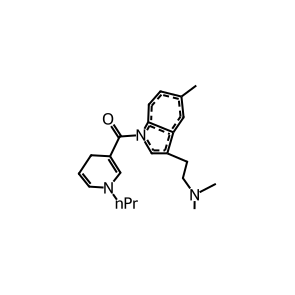 CCCN1C=CCC(C(=O)n2cc(CCN(C)C)c3cc(C)ccc32)=C1